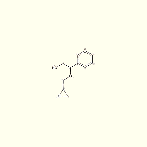 OCC(OCC1CO1)c1ccccc1